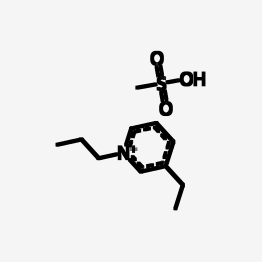 CCC[n+]1cccc(CC)c1.CS(=O)(=O)O